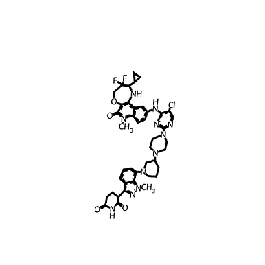 Cn1nc(C2CCC(=O)NC2=O)c2cccc(N3CCCC(N4CCN(c5ncc(Cl)c(Nc6ccc7c(c6)c6c(c(=O)n7C)OCC(F)(F)C(C7CC7)N6)n5)CC4)C3)c21